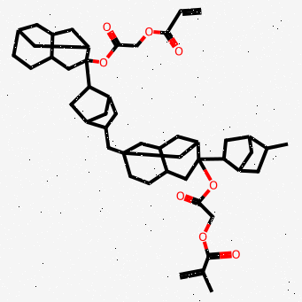 C=CC(=O)OCC(=O)OC1(C2CC3CC2CC3CC23CCC4CC(OC(=O)COC(=O)C(=C)C)(C5CC6CC5CC6C)C(CC4C2)C3)CC2CCC3CC2CC1C3